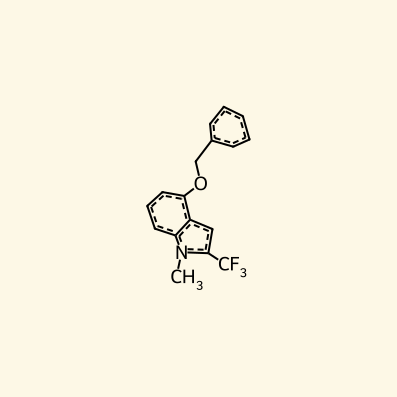 Cn1c(C(F)(F)F)cc2c(OCc3ccccc3)cccc21